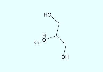 OCC(O)CO.[Ce]